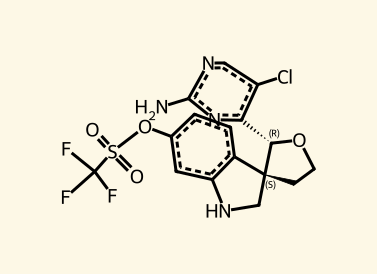 Nc1ncc(Cl)c([C@@H]2OCC[C@]23CNc2cc(OS(=O)(=O)C(F)(F)F)ccc23)n1